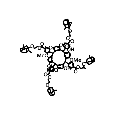 COc1cc(O)c2cc1C(c1ccc(C(=O)OCCOC34CC5CC(CC(C)(C5)C3)C4)cc1)c1cc(c(OC)cc1O)C(c1ccc(C(=O)OCCOC34CC5CC(CC(C)(C5)C3)C4C)cc1)c1cc(c(OC)cc1O)C(c1ccc(C(=O)OCCOC34CC5CC(CC(C)(C5)C3)C4C)cc1)c1cc(c(OC)cc1O)C2c1ccc(C(=O)OCC(C)OC23CC4CC(CC(C)(C4)C2)C3)cc1